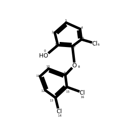 Oc1cccc(Cl)c1Oc1cccc(Cl)c1Cl